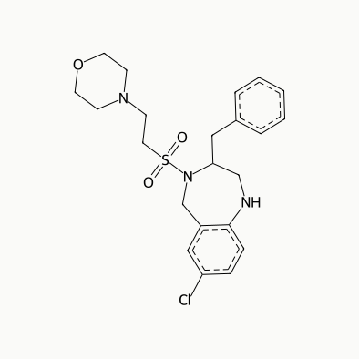 O=S(=O)(CCN1CCOCC1)N1Cc2cc(Cl)ccc2NCC1Cc1ccccc1